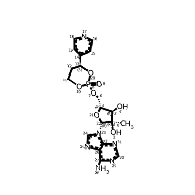 C[C@@]1(O)[C@H](O)[C@@H](COP2(=O)OCC[C@@H](c3ccncc3)O2)O[C@H]1n1cnc2c(N)ncnc21